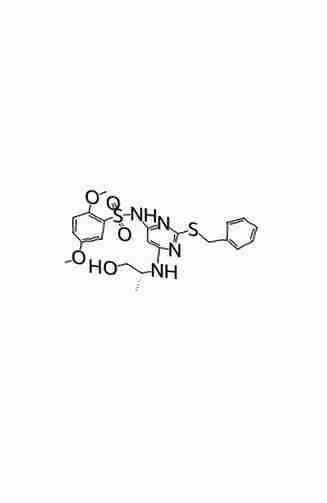 COc1ccc(OC)c(S(=O)(=O)Nc2cc(N[C@H](C)CO)nc(SCc3ccccc3)n2)c1